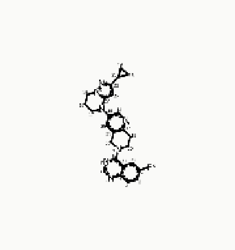 Fc1ccc2ncnc(N3CCc4ncc(N5CCCn6nc(C7CC7)cc65)cc4C3)c2c1